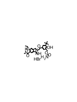 Br.CCOc1cc2c(cc1C(=O)NC)C(=N)N(CC(=O)c1cc(COC(N)=O)c(O)c(C(C)(C)C)c1)C2